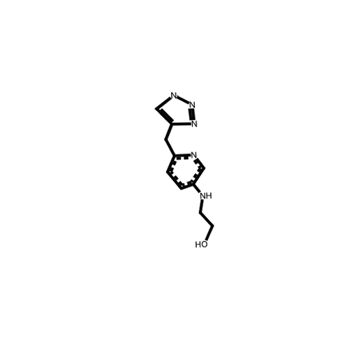 OCCNc1ccc(CC2=C[N]N=N2)nc1